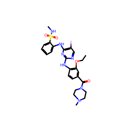 CCOc1cc(C(=O)N2CCN(C)CC2)ccc1Nc1ncc(I)c(Nc2ccccc2S(=O)(=O)NC)n1